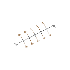 CC(Br)(Br)C(Br)(Br)C(Br)(Br)C(Br)(Br)C(C)(Br)Br